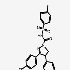 Cc1ccc(S(=O)(=O)NC(=O)N2CC(c3ccccc3)C(c3ccc(Cl)cc3)=N2)cc1